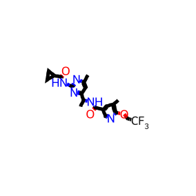 Cc1cc(C(C)NC(=O)c2cnc(OCC(F)(F)F)c(C)c2)nc(NC(=O)C2CC2)n1